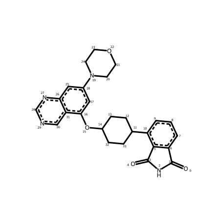 O=C1NC(=O)c2c1cccc2C1CCC(Oc2cc(N3CCOCC3)cc3ncncc23)CC1